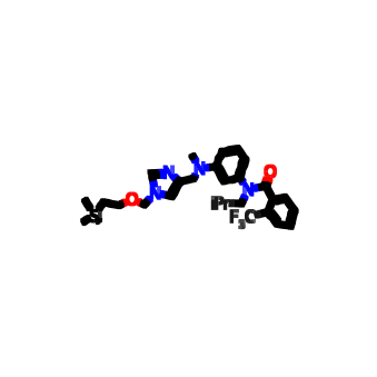 CC(C)CN(C(=O)c1ccccc1C(F)(F)F)c1cccc(N(C)Cc2cn(COCC[Si](C)(C)C)cn2)c1